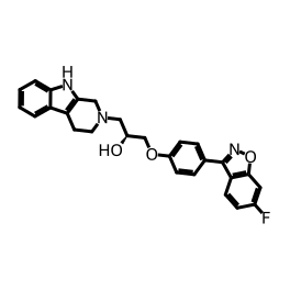 O[C@H](COc1ccc(-c2noc3cc(F)ccc23)cc1)CN1CCc2c([nH]c3ccccc23)C1